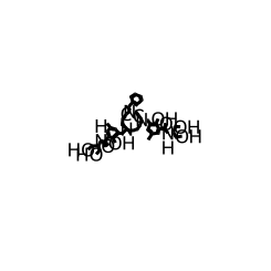 Cc1cc(CN2CCCN(Cc3ccccc3)CCN(Cc3cc(C)cc(C(=O)NC(CO)CO)c3O)CCC2)c(O)c(C(=O)NC(CO)CO)c1